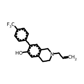 C=CCN1CCc2cc(O)c(-c3ccc(C(F)(F)F)cc3)cc2C1